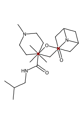 CC(C)CNC(=O)C1(CN2CC3CC(C2)N3C(=O)OC(C)(C)C)CCN(C)CC1